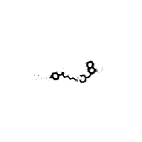 COc1ccc(C(=O)CCCCCN2CCC(Cc3cc(C(F)(F)F)c4ccccc4c3)CC2)cc1